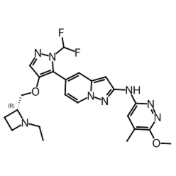 CCN1CC[C@@H]1COc1cnn(C(F)F)c1-c1ccn2nc(Nc3cc(C)c(OC)nn3)cc2c1